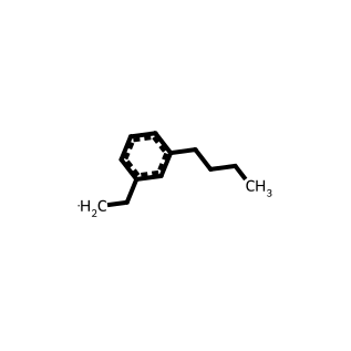 [CH2]Cc1cccc(CCCC)c1